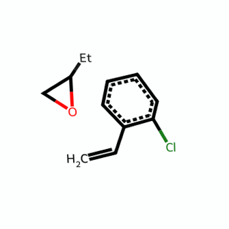 C=Cc1ccccc1Cl.CCC1CO1